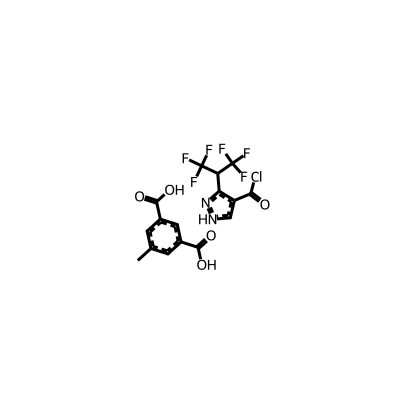 Cc1cc(C(=O)O)cc(C(=O)O)c1.O=C(Cl)c1c[nH]nc1C(C(F)(F)F)C(F)(F)F